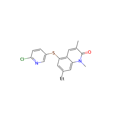 CCc1cc(Sc2ccc(Cl)nc2)c2cc(C)c(=O)n(C)c2c1